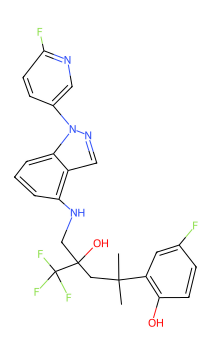 CC(C)(CC(O)(CNc1cccc2c1cnn2-c1ccc(F)nc1)C(F)(F)F)c1cc(F)ccc1O